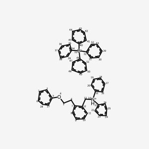 c1ccc(OCCc2ccccc2C[NH+](c2ccccc2)c2ccccc2)cc1.c1ccc([B-](c2ccccc2)(c2ccccc2)c2ccccc2)cc1